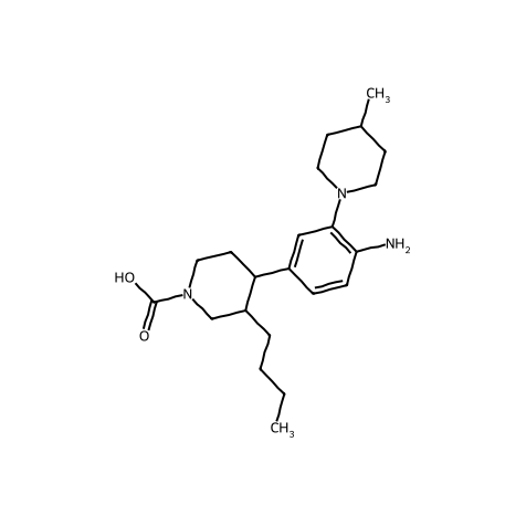 CCCCC1CN(C(=O)O)CCC1c1ccc(N)c(N2CCC(C)CC2)c1